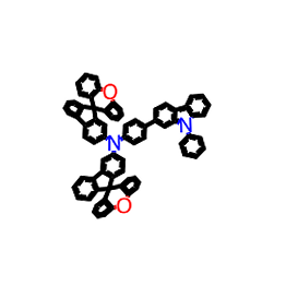 c1ccc(-n2c3ccccc3c3ccc(-c4ccc(N(c5ccc6c(c5)-c5ccccc5C65c6ccccc6Oc6ccccc65)c5ccc6c(c5)C5(c7ccccc7Oc7ccccc75)c5ccccc5-6)cc4)cc32)cc1